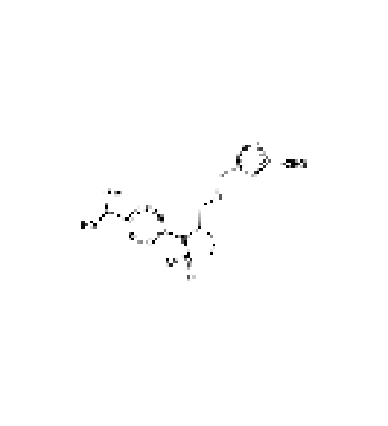 CCCCCC(O)c1ccc(N2C(COCc3ccc(C=O)s3)CCS2(=O)=O)cc1